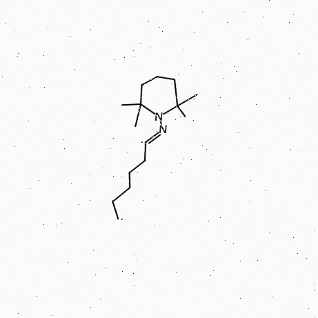 [CH2]CCCC/[C]=N/N1C(C)(C)CCCC1(C)C